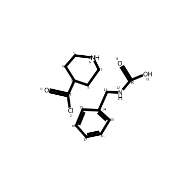 O=C(Cl)C1CCNCC1.O=C(O)NCc1ccccc1